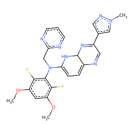 COc1cc(OC)c(F)c(N(Cc2ncccn2)C2=CC=C3N=CC(c4cnn(C)c4)=NC3N2)c1F